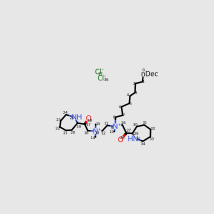 CCCCCCCCCCCCCCCCCC[N+](C)(CC[N+](C)(C)CC(=O)C1CCCCCN1)CC(=O)C1CCCCCN1.[Cl-].[Cl-]